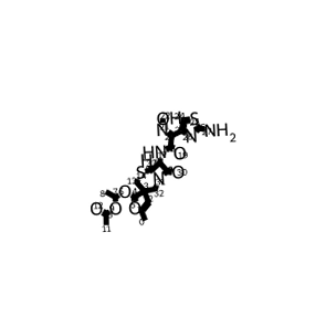 CC=CC1(C(=O)OC(C)OC(C)=O)CS[C@@H]2C(NC(=O)C(=NO)c3csc(N)n3)C(=O)N2C1